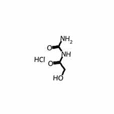 Cl.NC(=O)NC(=O)CO